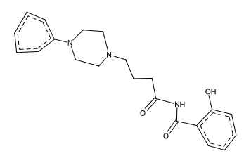 O=C(CCCN1CCN(c2ccccc2)CC1)NC(=O)c1ccccc1O